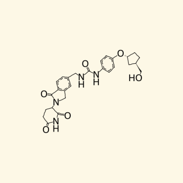 O=C1CCC(N2Cc3cc(CNC(=O)Nc4ccc(O[C@@H]5CC[C@@H](CO)C5)cc4)ccc3C2=O)C(=O)N1